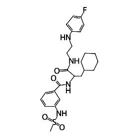 CS(=O)(=O)Nc1cccc(C(=O)NC(CC2CCCCC2)C(=O)NCCNc2ccc(F)cc2)c1